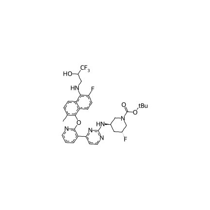 Cc1ccc2c(NCC(O)C(F)(F)F)c(F)ccc2c1Oc1ncccc1-c1ccnc(N[C@@H]2C[C@@H](F)CN(C(=O)OC(C)(C)C)C2)n1